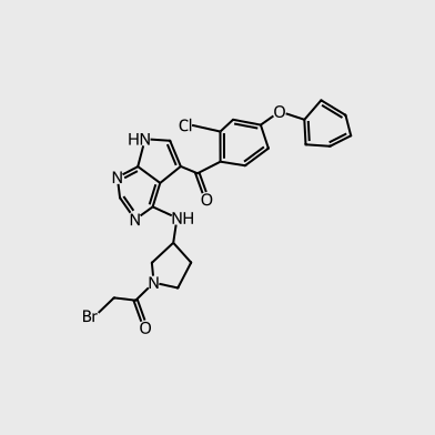 O=C(c1ccc(Oc2ccccc2)cc1Cl)c1c[nH]c2ncnc(NC3CCN(C(=O)CBr)C3)c12